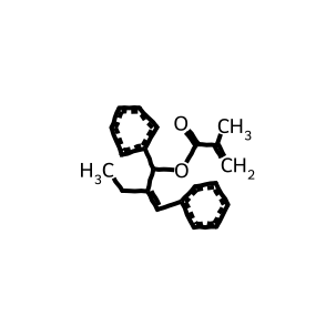 C=C(C)C(=O)OC(C(=Cc1ccccc1)CC)c1ccccc1